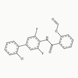 O=COc1ccccc1C(=O)Nc1c(F)cc(-c2ccccc2Cl)cc1F